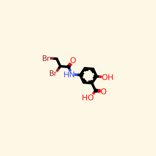 O=C(O)c1cc(NC(=O)C(Br)CBr)ccc1O